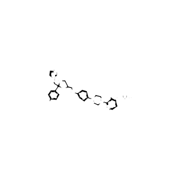 CCc1ccc(C2(Cn3ccnc3)OCC(COc3ccc(N4CCN(c5nccc(OC)c5F)CC4)cc3)O2)cc1